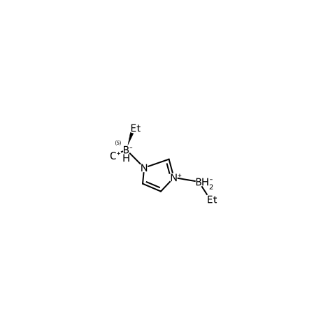 [CH2+][B@@H-](CC)n1cc[n+]([BH2-]CC)c1